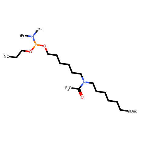 CCCCCCCCCCCCCCCCN(CCCCCCOP(OCCC#N)N(C(C)C)C(C)C)C(=O)C(F)(F)F